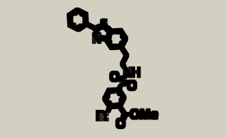 CCc1ccc(S(=O)(=O)NCCc2ccc3sc(-c4ccccc4)nc3c2)cc1C(=O)OC